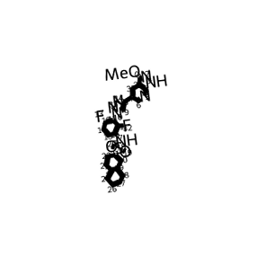 COc1n[nH]c2ncc(-c3cn(-c4c(F)ccc(NS(=O)(=O)c5ccc6ccccc6c5)c4F)nn3)cc12